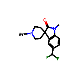 CC(C)N1CCC2(CC1)C(=O)N(C)c1ccc(C(F)F)cc12